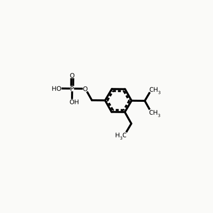 CCc1cc(COP(=O)(O)O)ccc1C(C)C